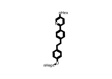 CCCCCCCOc1ccc(CCc2ccc(-c3ccc(CCCCCC)cn3)cc2)cc1